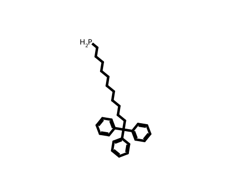 PCCCCCCCCCCCC(c1ccccc1)(c1ccccc1)c1ccccc1